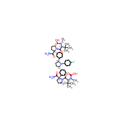 CN(C(=O)O)[C@H](C(=O)N1CCC[C@@]1(C(N)=O)c1cccc([C@@H]2CC[C@@H](c3cccc([C@]4(C(N)=O)CCCN4C(=O)[C@@H](N(C)C(=O)O)C(C)(C)C)c3)N2c2ccc(F)cc2)c1)C(C)(C)C